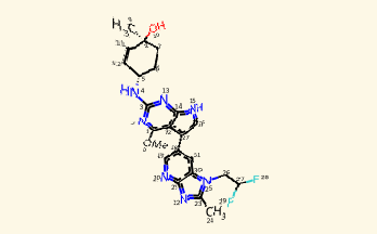 COc1nc(N[C@H]2CC[C@](C)(O)CC2)nc2[nH]cc(-c3cnc4nc(C)n(CC(F)F)c4c3)c12